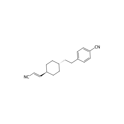 N#CC=C[C@H]1CC[C@H](CCc2ccc(C#N)cc2)CC1